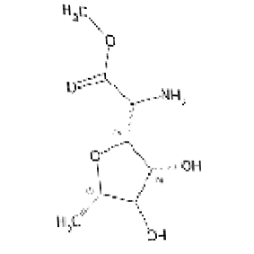 COC(=O)C(N)[C@H]1O[C@@H](C)C(O)[C@H]1O